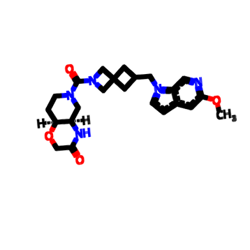 COc1cc2ccn(CC3CC4(C3)CN(C(=O)N3CC[C@@H]5OCC(=O)N[C@@H]5C3)C4)c2cn1